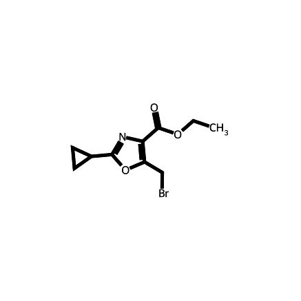 CCOC(=O)c1nc(C2CC2)oc1CBr